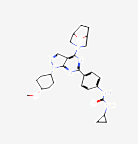 CO[C@H]1CC[C@@H](n2ncc3c(N4CC5CCC(C4)O5)nc(-c4ccc(NC(=O)NC5CC5)cc4)nc32)CC1